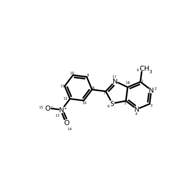 Cc1ncnc2sc(-c3cccc([N+](=O)[O-])c3)nc12